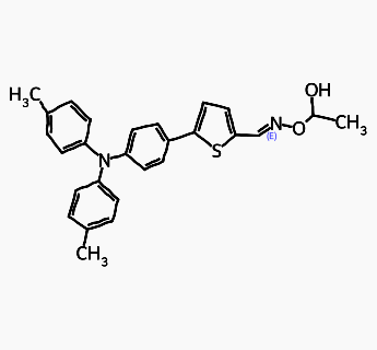 Cc1ccc(N(c2ccc(C)cc2)c2ccc(-c3ccc(/C=N/OC(C)O)s3)cc2)cc1